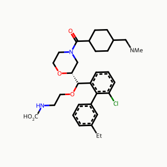 CCc1cccc(-c2c(Cl)cccc2C(OCCNC(=O)O)[C@H]2CN(C(=O)C3CCC(CNC)CC3)CCO2)c1